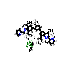 Cc1ccc(-c2cc(C(C)C)c(N=Cc3ccccn3)c(C(C)C)c2)cc1-c1cc(C(C)C)c(N=Cc2ccccn2)c(C(C)C)c1.Cl.Cl.Cl.Cl.[Ni].[Ni]